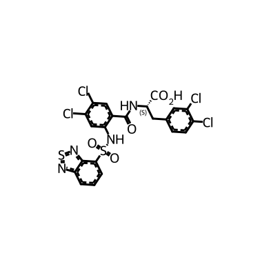 O=C(N[C@@H](Cc1ccc(Cl)c(Cl)c1)C(=O)O)c1cc(Cl)c(Cl)cc1NS(=O)(=O)c1cccc2nsnc12